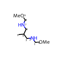 COCNCC(C)CNCOC